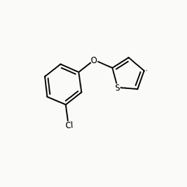 Clc1cccc(Oc2c[c]cs2)c1